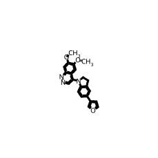 COc1cc2nncc(N3CCc4cc(-c5ccoc5)ccc43)c2cc1OC